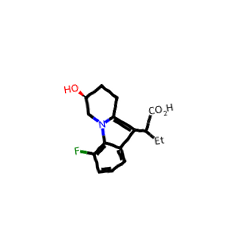 CCC(C(=O)O)c1c2n(c3c(F)cccc13)C[C@@H](O)CC2